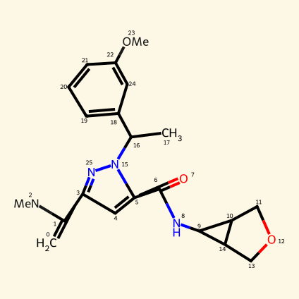 C=C(NC)c1cc(C(=O)NC2C3COCC32)n(C(C)c2cccc(OC)c2)n1